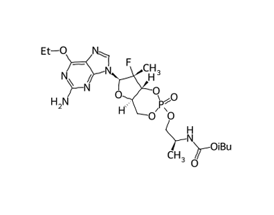 CCOc1nc(N)nc2c1ncn2[C@@H]1O[C@@H]2COP(=O)(OC[C@H](C)NC(=O)OCC(C)C)O[C@H]2[C@@]1(C)F